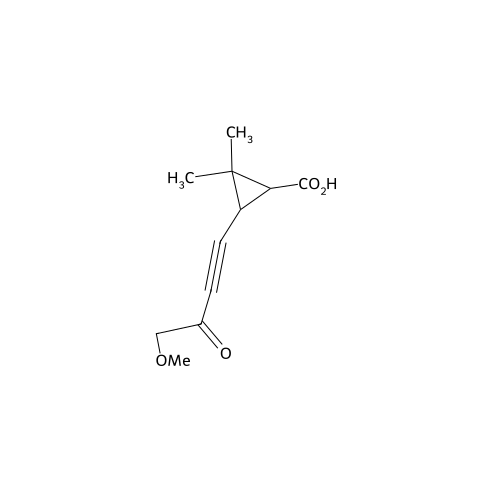 COCC(=O)C#CC1C(C(=O)O)C1(C)C